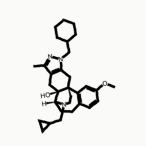 COc1ccc2c(c1)[C@]13CCN(CC4CC4)[C@H](CC2)[C@]1(O)Cc1c(C)nn(CC2CCCCC2)c1C3